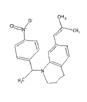 CC(C)=Cc1ccc2c(c1)N(C(C)c1ccc([N+](=O)[O-])cc1)CCC2